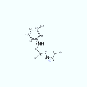 CC/C=N\CC(C)CNc1cncc(I)c1